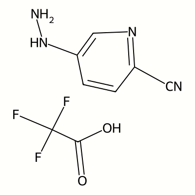 N#Cc1ccc(NN)cn1.O=C(O)C(F)(F)F